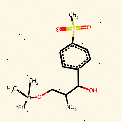 CC(C)(C)[Si](C)(C)OCC(C(O)c1ccc(S(C)(=O)=O)cc1)[N+](=O)[O-]